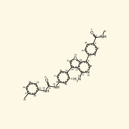 CNC(=O)c1ccc(-c2cnc(N)c3c(-c4ccc(NC(=O)Nc5cccc(C)c5)cc4)coc23)cc1